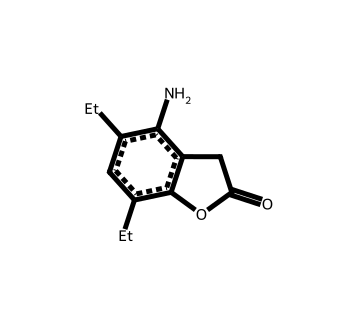 CCc1cc(CC)c2c(c1N)CC(=O)O2